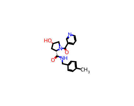 Cc1ccc(CNC(=O)[C@@H]2C[C@@H](O)CN2C(=O)c2cccnc2)cc1